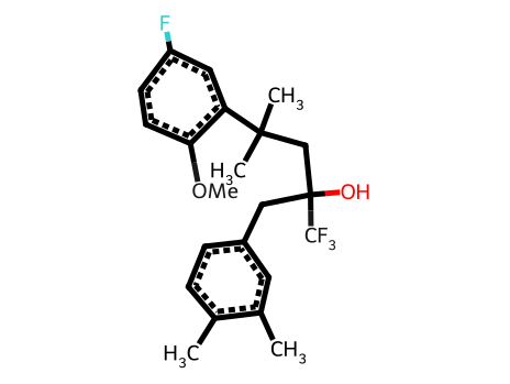 COc1ccc(F)cc1C(C)(C)CC(O)(Cc1ccc(C)c(C)c1)C(F)(F)F